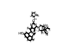 C#Cc1c(F)ccc2cc(O)cc(-c3ncc4c(N5C[C@H]6CC(C#N)[C@@H](C5)N6C(=O)C(=C)F)nc(OC[C@@H]5CCCN5C)nc4c3F)c12